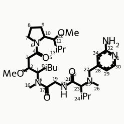 CCC(C)C(C(CC(=O)N1CCCC1C(OC)C(C)C)OC)N(C)C(=O)CNC(=O)C(C(C)C)N(C)Cc1ccnc(N)c1